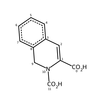 O=C(O)C1=Cc2ccccc2CN1C(=O)O